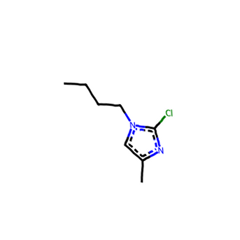 CCCCn1cc(C)nc1Cl